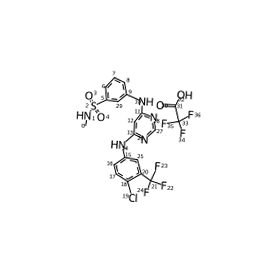 CNS(=O)(=O)c1cccc(Nc2cc(Nc3ccc(Cl)c(C(F)(F)F)c3)ncn2)c1.O=C(O)C(F)(F)F